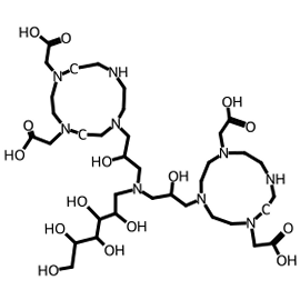 O=C(O)CN1CCNCCN(CC(O)CN(CC(O)CN2CCN(CC(=O)O)CCNCCN(CC(=O)O)CC2)CC(O)C(O)C(O)C(O)CO)CCN(CC(=O)O)CC1